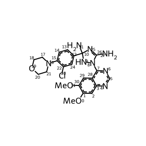 COc1cc2ncnc(N3NC(N)(c4ccc(N5CCOCC5)c(Cl)c4)N=C3N)c2cc1OC